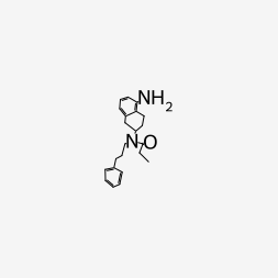 CCC(=O)N(CCCc1ccccc1)C1CCc2c(N)cccc2C1